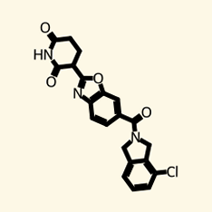 O=C1CCC(c2nc3ccc(C(=O)N4Cc5cccc(Cl)c5C4)cc3o2)C(=O)N1